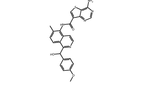 COc1ccc(C(O)c2nccc3c(NC(=O)c4csc5c(N)ncnc45)c(C)ccc23)cc1